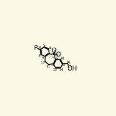 O=S1(=O)c2ccc(F)cc2CCc2ccc(CO)cc21